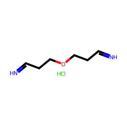 Cl.N=CCCOCCC=N